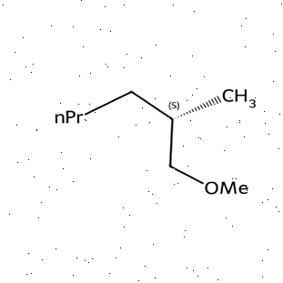 CCCC[C@H](C)COC